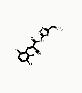 CCc1nnc(NC(=O)/C(C#N)=C/c2c(Cl)ccc(Cl)c2Cl)s1